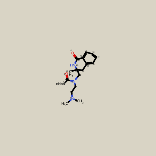 CCCCCCCCCC(=O)N(CCN(C)C)CC1(C)Cc2ccccc2C(=O)N1